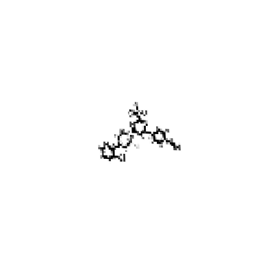 C[C@@H]1CN(c2ncccc2Cl)CCN1c1cc(-c2ccc(C#N)cc2)nc(S(C)(=O)=O)n1